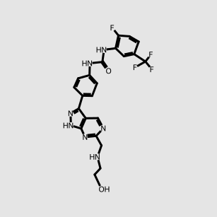 O=C(Nc1ccc(-c2n[nH]c3nc(CNCCO)ncc23)cc1)Nc1cc(C(F)(F)F)ccc1F